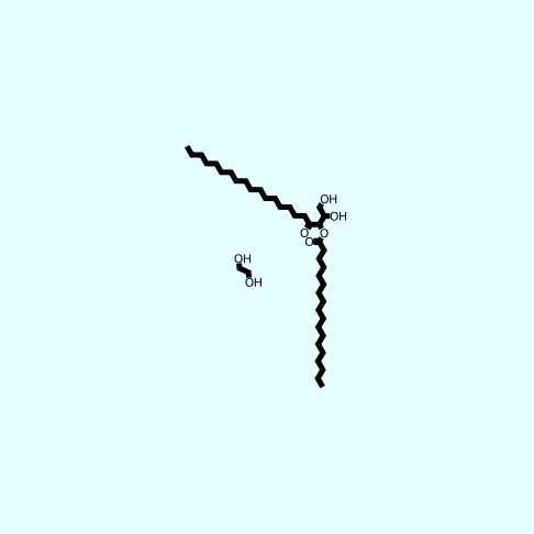 CCCCCCCCCCCCCCCCCC(=O)OC(C(=O)CCCCCCCCCCCCCCCCC)C(O)CO.OCCO